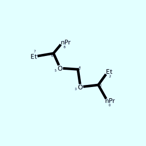 CCCC(CC)O[CH]OC(CC)CCC